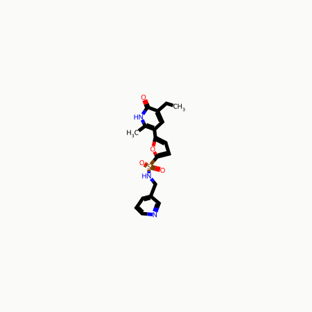 CCc1cc(-c2ccc(S(=O)(=O)NCc3cccnc3)o2)c(C)[nH]c1=O